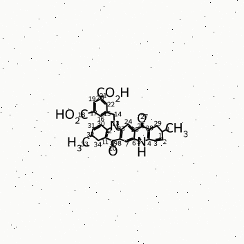 CC1C=Cc2[nH]c3cc4c(=O)c5c(n(Cc6cc(C(=O)O)cc(C(=O)O)c6)c4cc3c(=O)c2C1)C=CC(C)C5